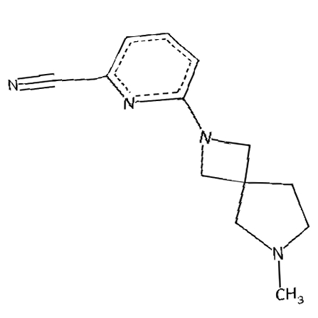 CN1CCC2(C1)CN(c1cccc(C#N)n1)C2